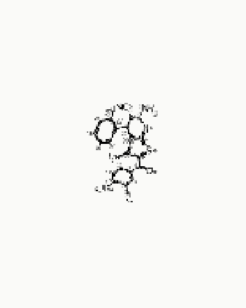 N#Cc1c(N)nc2sc(C(=O)c3ccc(Cl)c(Cl)c3)c(N)c2c1-c1ccccc1I